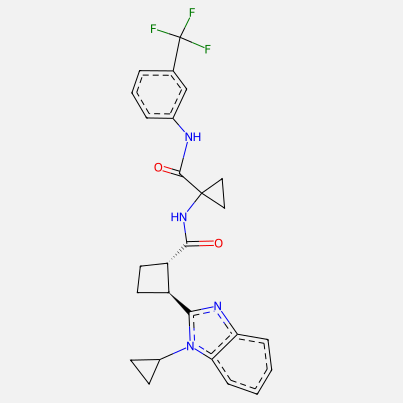 O=C(NC1(C(=O)Nc2cccc(C(F)(F)F)c2)CC1)[C@H]1CC[C@@H]1c1nc2ccccc2n1C1CC1